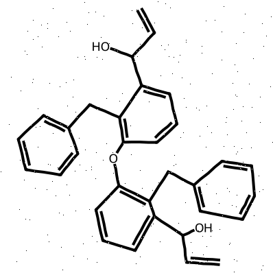 C=CC(O)c1cccc(Oc2cccc(C(O)C=C)c2Cc2ccccc2)c1Cc1ccccc1